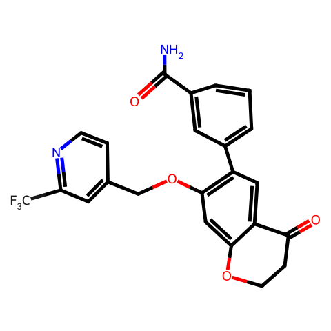 NC(=O)c1cccc(-c2cc3c(cc2OCc2ccnc(C(F)(F)F)c2)OCCC3=O)c1